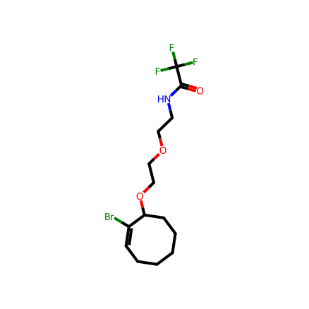 O=C(NCCOCCOC1CCCCC/C=C\1Br)C(F)(F)F